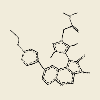 CCOc1ccc(-c2ccc3ncc4c(c3c2)n(-c2c(C)nn(CC(=O)N(C)C)c2C)c(=O)n4C)cn1